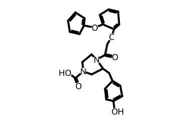 O=C(O)N1CCN(C(=O)CCc2ccccc2Oc2ccccc2)C(Cc2ccc(O)cc2)C1